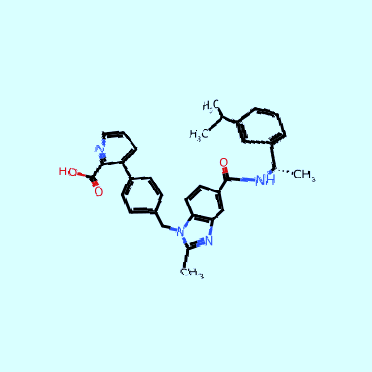 Cc1nc2cc(C(=O)N[C@@H](C)c3cccc(C(C)C)c3)ccc2n1Cc1ccc(-c2cccnc2C(=O)O)cc1